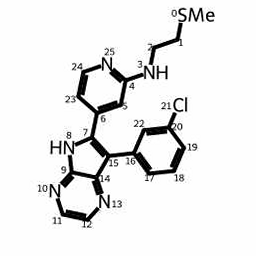 CSCCNc1cc(-c2[nH]c3nccnc3c2-c2cccc(Cl)c2)ccn1